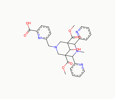 COC(=O)C12CN(Cc3cccc(C(=O)O)n3)CC(C(=O)OC)(C(c3ccccn3)N(C)C1c1ccccn1)C2O